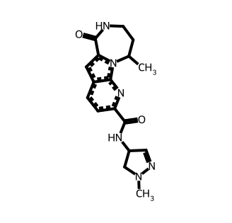 CC1CCNC(=O)c2cc3ccc(C(=O)NC4C=NN(C)C4)nc3n21